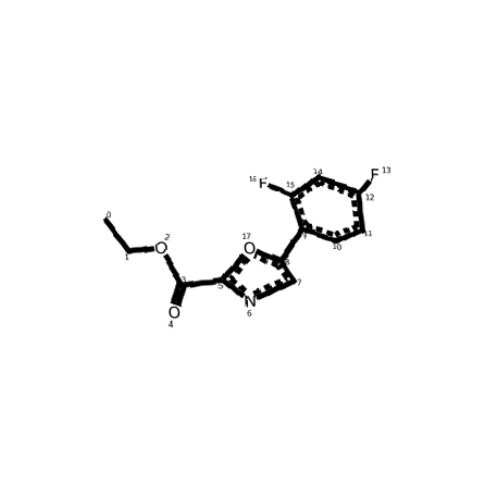 CCOC(=O)c1ncc(-c2ccc(F)cc2F)o1